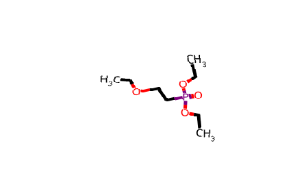 CCOCCP(=O)(OCC)OCC